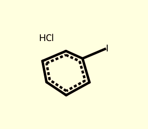 Cl.Ic1ccccc1